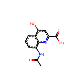 CC(=O)Nc1cccc2c(O)cc(C(=O)O)nc12